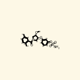 CO[C@@H]1CN(C(=O)c2cc(C)ccc2C)C[C@H]1Oc1cccc(OS(N)(=O)=O)c1